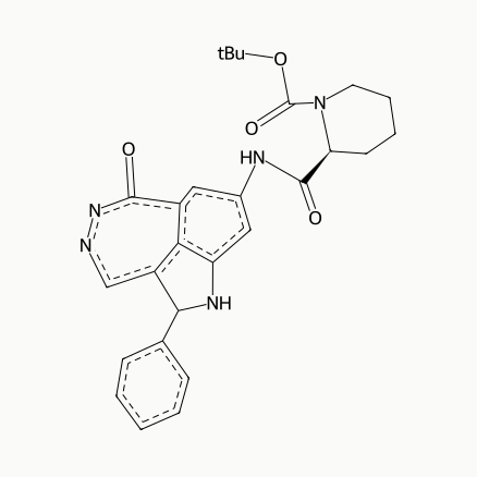 CC(C)(C)OC(=O)N1CCCC[C@H]1C(=O)Nc1cc2c3c(cnnc(=O)c3c1)C(c1ccccc1)N2